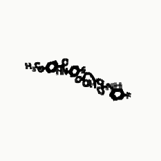 COc1ccc(C(=O)Nc2ccc(SC(CCOC(=O)Nc3cccc(F)c3)C(=O)O)cc2)cc1